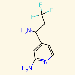 Nc1cc(C(N)CC(F)(F)F)ccn1